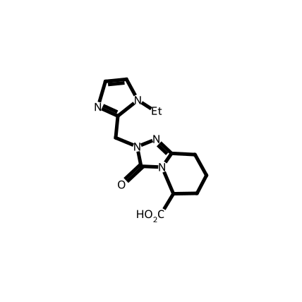 CCn1ccnc1Cn1nc2n(c1=O)C(C(=O)O)CCC2